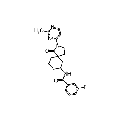 Cc1nccc(N2CCC3(CCCC(NC(=O)c4cccc(F)c4)C3)C2=O)n1